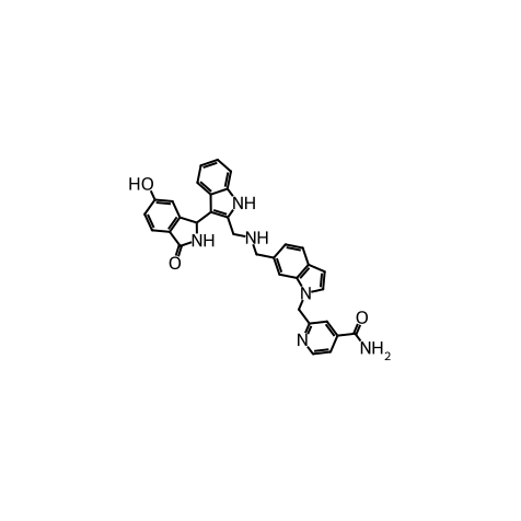 NC(=O)c1ccnc(Cn2ccc3ccc(CNCc4[nH]c5ccccc5c4C4NC(=O)c5ccc(O)cc54)cc32)c1